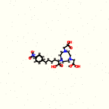 O=C(O)CN1CCN(CC(=O)O)CCN(C(CCCCc2ccc([N+](=O)[O-])cc2)C(=O)O)CC1